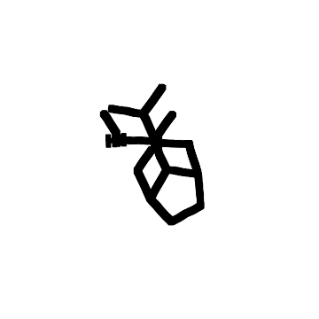 CNC(C)C1C2CCC1CN(C(C)C)C2